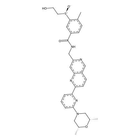 Cc1ccc(C(=O)NCc2cc3nc(-c4cccc(N5C[C@@H](C)O[C@@H](C)C5)n4)ccc3cn2)cc1[S@+]([O-])CCO